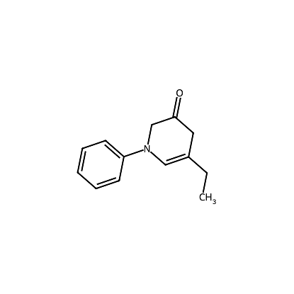 CCC1=CN(c2ccccc2)CC(=O)C1